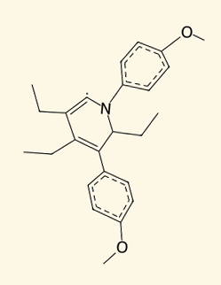 CCC1=[C]N(c2ccc(OC)cc2)C(CC)C(c2ccc(OC)cc2)=C1CC